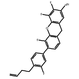 C=CCCc1ccc(-c2ccc3c(c2F)Oc2c(cc(CCC)c(F)c2F)C3)cc1F